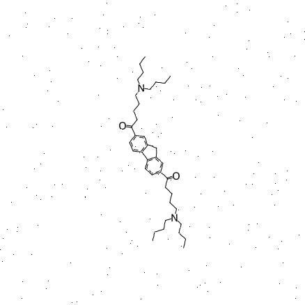 CCCCN(CCCC)CCCCC(=O)c1ccc2c(c1)Cc1cc(C(=O)CCCCN(CCCC)CCCC)ccc1-2